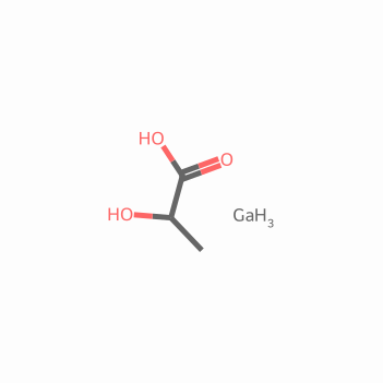 CC(O)C(=O)O.[GaH3]